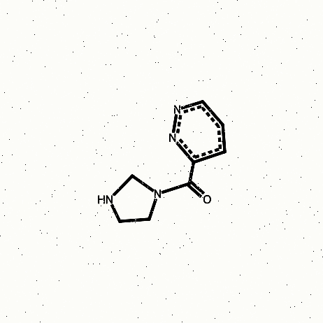 O=C(c1cccnn1)N1CCNC1